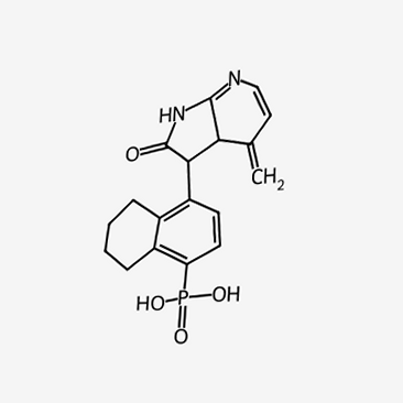 C=C1C=CN=C2NC(=O)C(c3ccc(P(=O)(O)O)c4c3CCCC4)C12